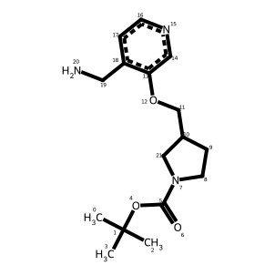 CC(C)(C)OC(=O)N1CCC(COc2cnccc2CN)C1